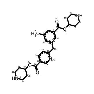 Cc1cc(C(=O)OC2CCNCC2)c[n+](Cc2ccc(C(=O)OC3CCNCC3)cn2)c1